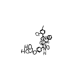 C[C@@H](c1ccccc1)[C@@H](c1ncc(-c2ccc(I)cc2Cl)[nH]1)N1C(=O)NC(c2ccc(OC(CO)CO)cc2)C1=O